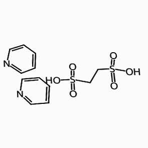 O=S(=O)(O)CCS(=O)(=O)O.c1ccncc1.c1ccncc1